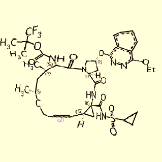 CCOc1nnc(O[C@@H]2C[C@H]3C(=O)N[C@]4(C(=O)NS(=O)(=O)C5CC5)C[C@H]4/C=C\CC[C@H](C)C[C@@H](C)[C@H](NC(=O)OC(C)(C)C(F)(F)F)C(=O)N3C2)c2ccccc12